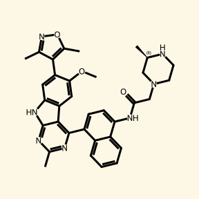 COc1cc2c(cc1-c1c(C)noc1C)[nH]c1nc(C)nc(-c3ccc(NC(=O)CN4CCN[C@H](C)C4)c4ccccc34)c12